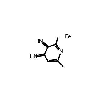 CC1=CC(=N)C(=N)C(C)=N1.[Fe]